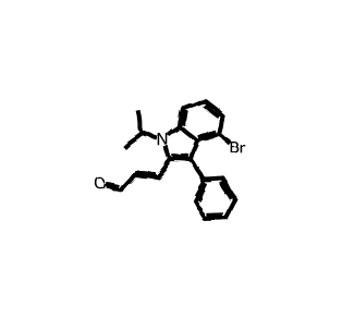 CC(C)n1c(C=CC=O)c(-c2ccccc2)c2c(Br)cccc21